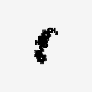 Cc1ccc(S(=O)(=O)NC(=O)CCn2ccc3ccccc32)cc1